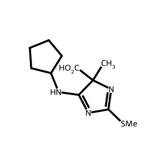 CSC1=NC(C)(C(=O)O)C(NC2CCCC2)=N1